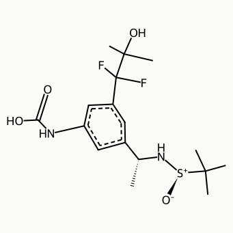 C[C@@H](N[S@+]([O-])C(C)(C)C)c1cc(NC(=O)O)cc(C(F)(F)C(C)(C)O)c1